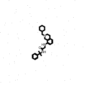 CC(C)(NC(=O)CNc1cccc2c1CN(CC1CCCCC1)CC2)c1ccccc1